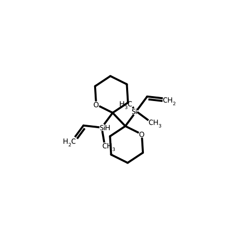 C=C[SiH](C)C1(C2([Si](C)(C)C=C)CCCCO2)CCCCO1